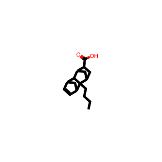 CCCCC12C3C=CC(C3)C1C1CC2CC1C(=O)O